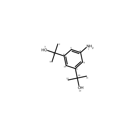 CC(C)(O)c1cc(N)cc(C(C)(C)O)c1